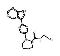 O=C(NCC(F)(F)F)[C@H]1CCCCN1c1cnc(-c2c[nH]c3ncncc23)nc1